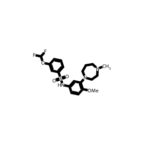 COc1ccc(NS(=O)(=O)c2cccc(OC(F)F)c2)cc1N1CCCN(C)CC1